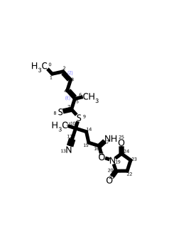 CC/C=C\C=C(/C)C(=S)SC(C)(C#N)CCC(=N)ON1C(=O)CCC1=O